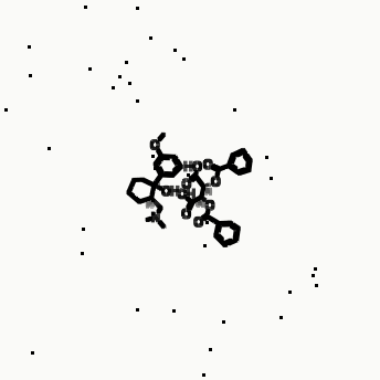 COc1cccc([C@@]2(O)CCCC[C@@H]2CN(C)C)c1.O=C(O[C@@H](C(=O)O)[C@@H](OC(=O)c1ccccc1)C(=O)O)c1ccccc1